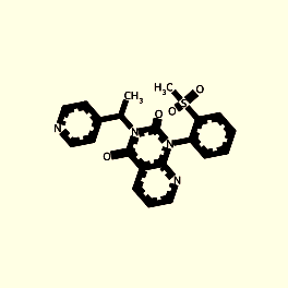 CC(c1ccncc1)n1c(=O)c2cccnc2n(-c2ccccc2S(C)(=O)=O)c1=O